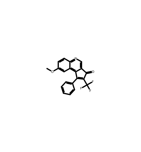 COc1ccc2ncc3c(c2c1)C(c1ccccc1)=C(C(F)(F)F)C3=O